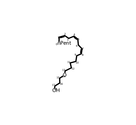 CCCCC/C=C\C/C=C\C/C=C\CCCCCOCCCO